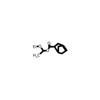 CCOC(C)OC(=O)C1CC2=CCC1C2